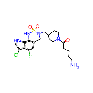 NCCCCC(=O)N1CCC(CN2Cc3cc(Cl)c4c(Cl)c[nH]c4c3NS2(=O)=O)CC1